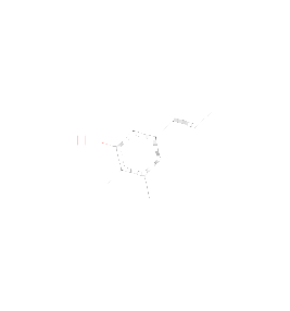 C/C=C/c1cc(C)c(C)c(O)c1